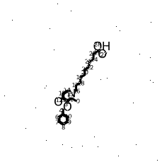 Cc1c(OCc2ccccc2)c(=O)ccn1CCCCCCCCCCC(=O)O